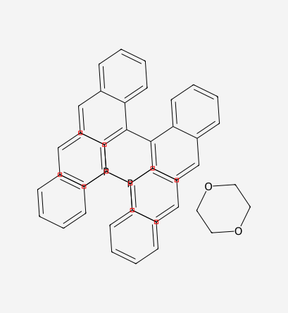 C1COCCO1.c1ccc(P(c2ccccc2)c2ccc3ccccc3c2-c2c(P(c3ccccc3)c3ccccc3)ccc3ccccc23)cc1